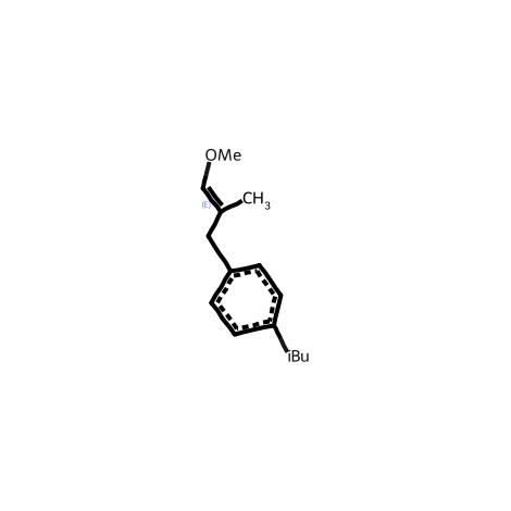 CCC(C)c1ccc(C/C(C)=C/OC)cc1